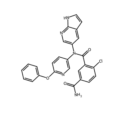 NC(=O)c1ccc(Cl)c(C(=O)N(c2ccc(Oc3ccccc3)nc2)c2cnc3[nH]ccc3c2)c1